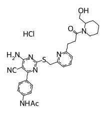 CC(=O)Nc1ccc(-c2nc(SCc3cccc(CCC(=O)N4CCCCC4CO)n3)nc(N)c2C#N)cc1.Cl